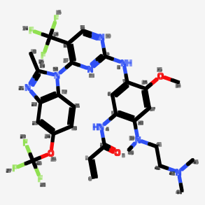 C=CC(=O)Nc1cc(Nc2ncc(C(F)(F)F)c(-n3c(C)nc4cc(OC(F)(F)F)ccc43)n2)c(OC)cc1N(C)CCN(C)C